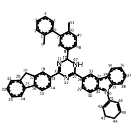 Cc1ccccc1-c1cc(C2N=C(c3ccc4c(c3)Cc3ccccc3-4)N=C(c3ccc4c(c3)c3ccccc3n4C3=CCCC=C3)N2)ccc1C